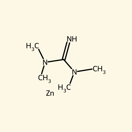 CN(C)C(=N)N(C)C.[Zn]